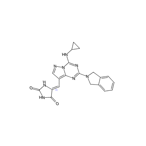 O=C1NC(=O)/C(=C/c2cnn3c(NC4CC4)nc(N4Cc5ccccc5C4)nc23)N1